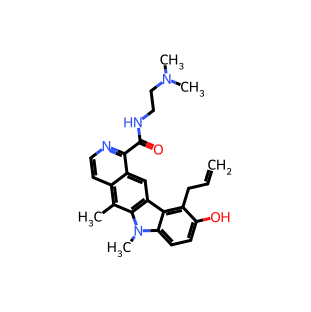 C=CCc1c(O)ccc2c1c1cc3c(C(=O)NCCN(C)C)nccc3c(C)c1n2C